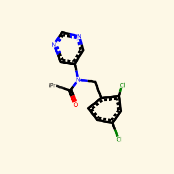 CC(C)C(=O)N(Cc1ccc(Cl)cc1Cl)c1cncnc1